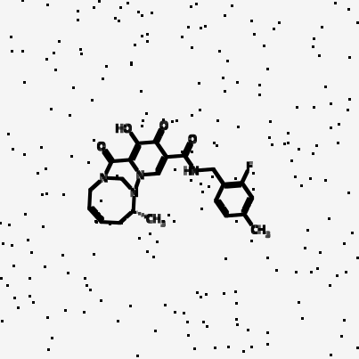 Cc1ccc(CNC(=O)c2cn3c(c(O)c2=O)C(=O)N2C/C=C\C[C@@H](C)N3C2)c(F)c1